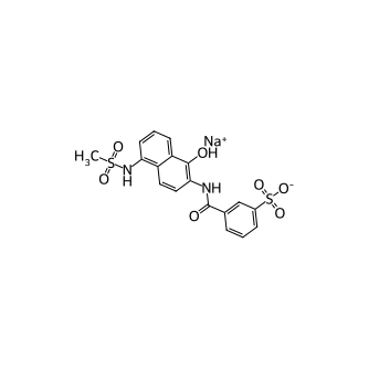 CS(=O)(=O)Nc1cccc2c(O)c(NC(=O)c3cccc(S(=O)(=O)[O-])c3)ccc12.[Na+]